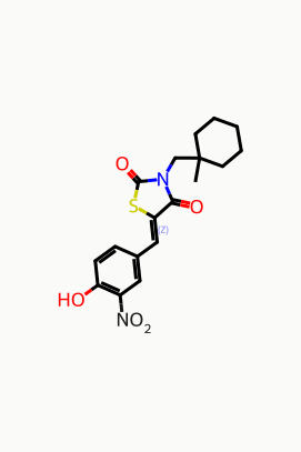 CC1(CN2C(=O)S/C(=C\c3ccc(O)c([N+](=O)[O-])c3)C2=O)CCCCC1